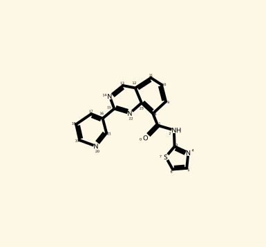 O=C(Nc1nccs1)c1cccc2cnc(-c3cccnc3)nc12